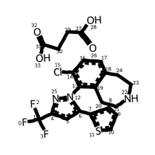 FC(F)(F)c1cc(-c2cccs2)n(-c2c(Cl)ccc3c2CCNCC3)n1.O=C(O)CCC(=O)O